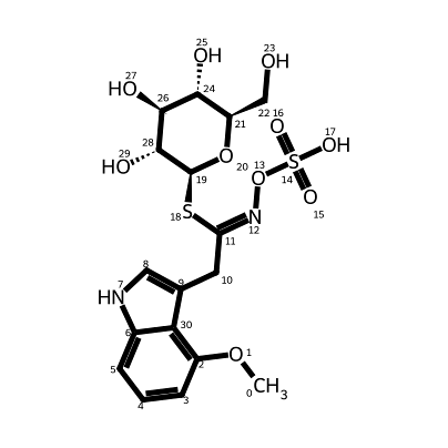 COc1cccc2[nH]cc(C/C(=N/OS(=O)(=O)O)S[C@@H]3O[C@H](CO)[C@@H](O)[C@H](O)[C@H]3O)c12